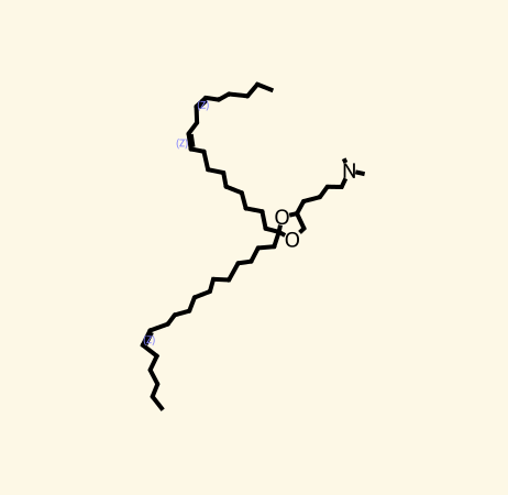 CCCCC/C=C\C/C=C\CCCCCCCCC1(CCCCCCCCCCC/C=C\CCCCC)OCC(CCCCN(C)C)O1